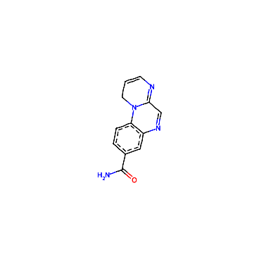 NC(=O)c1ccc2c(c1)N=CC1=NC=CCN12